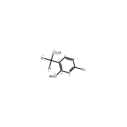 CCOC(=O)C(CC)(CC)c1ccc(Cl)nc1OC